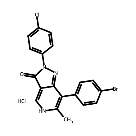 Cc1[nH]cc2c(=O)n(-c3ccc(Cl)cc3)nc-2c1-c1ccc(Br)cc1.Cl